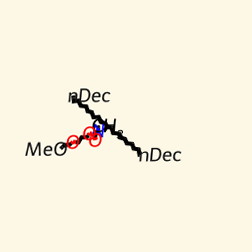 CCCCCCCCCCCCCCCCCCCCC(CCCCCCCCCCCCCCCCCCCC)CN(C)C(=O)OCCCOCCOC